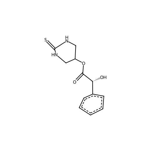 O=C(OC1CNC(=S)NC1)[C@H](O)c1ccccc1